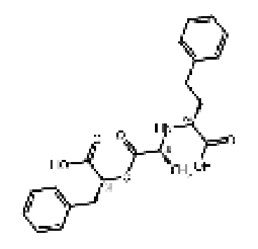 C[C@H](N[C@@H](CCc1ccccc1)C(=O)O)C(=O)O[C@@H](Cc1ccccc1)C(=O)O